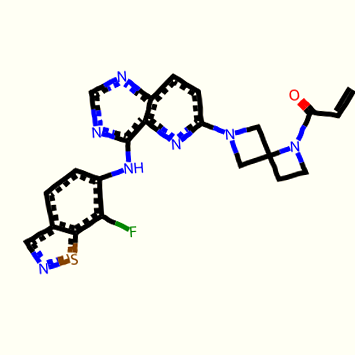 C=CC(=O)N1CCC12CN(c1ccc3ncnc(Nc4ccc5cnsc5c4F)c3n1)C2